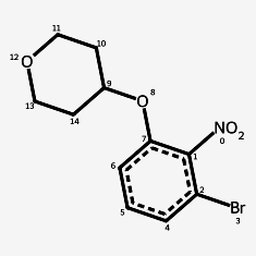 O=[N+]([O-])c1c(Br)cccc1OC1CCOCC1